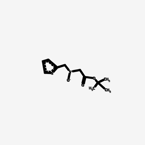 CC(C)(C)OC(=O)C[S+]([O-])Cc1cccs1